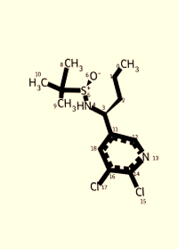 CCC[C@H](N[S@+]([O-])C(C)(C)C)c1cnc(Cl)c(Cl)c1